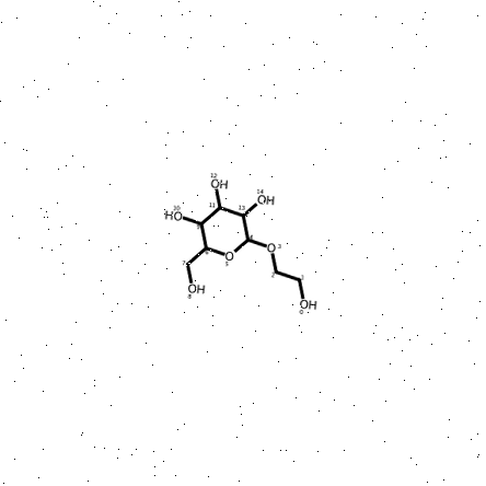 OCCOC1OC(CO)C(O)C(O)C1O